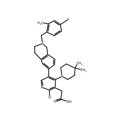 Cc1cc(F)ccc1CN1CCc2cc(-c3cnc(Cl)c(CC(=O)O)c3N3CCC(C)(C)CC3)ccc2C1